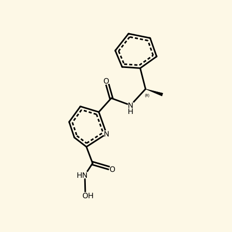 C[C@@H](NC(=O)c1cccc(C(=O)NO)n1)c1ccccc1